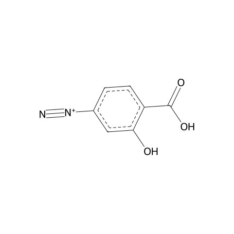 N#[N+]c1ccc(C(=O)O)c(O)c1